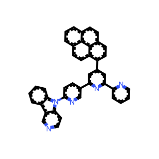 c1ccc(-c2cc(-c3ccc4ccc5cccc6ccc3c4c56)cc(-c3ccc(-n4c5ccccc5c5cnccc54)nc3)n2)nc1